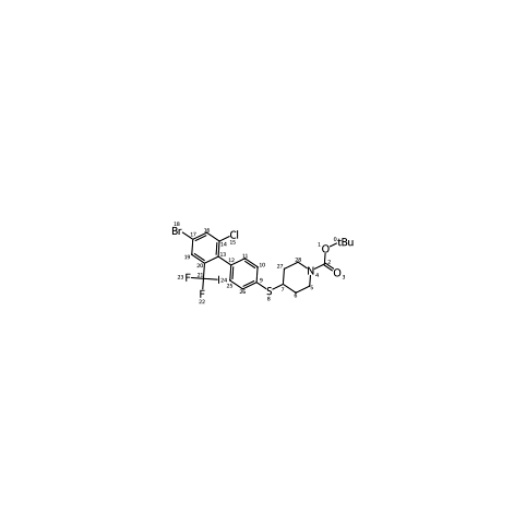 CC(C)(C)OC(=O)N1CCC(Sc2ccc(-c3c(Cl)cc(Br)cc3C(F)(F)I)cc2)CC1